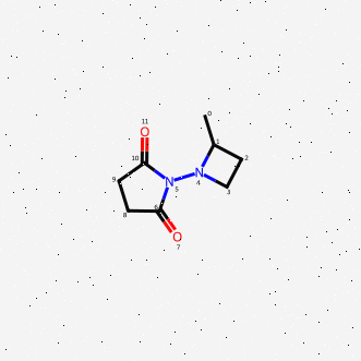 CC1CCN1N1C(=O)CCC1=O